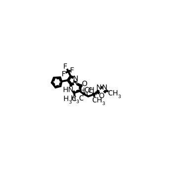 Cc1nnc(C(C)(C)CC(C)(C)c2c(C)[nH]c3c(-c4ccccc4)c(C(F)(F)F)nn3c2=O)o1